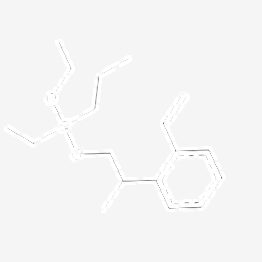 C=Cc1ccccc1C(C)CO[Si](CC)(CCC)OCC